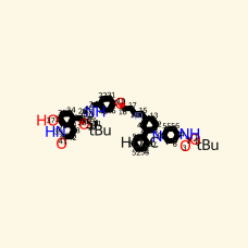 CC(C)(C)OC(=O)NC1CCC(N(C(=O)O)c2ccc(/C=C/CCOc3ccc(CNC[C@H](O[Si](C)(C)C(C)(C)C)c4ccc(O)c5[nH]c(=O)ccc45)cc3)cc2-c2ccccc2)CC1